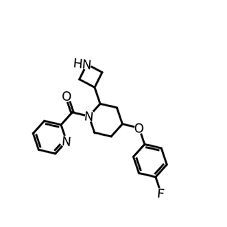 O=C(c1ccccn1)N1CCC(Oc2ccc(F)cc2)CC1C1CNC1